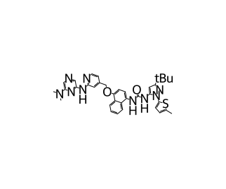 Cc1ccc(-n2nc(C(C)(C)C)cc2NC(=O)Nc2ccc(OCc3ccnc(Nc4cncc(N(C)C)n4)c3)c3ccccc23)s1